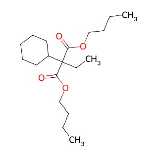 CCCCOC(=O)C(CC)(C(=O)OCCCC)C1CCCCC1